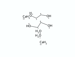 O.O.OCCO.OCCO.[CaH2].[CaH2]